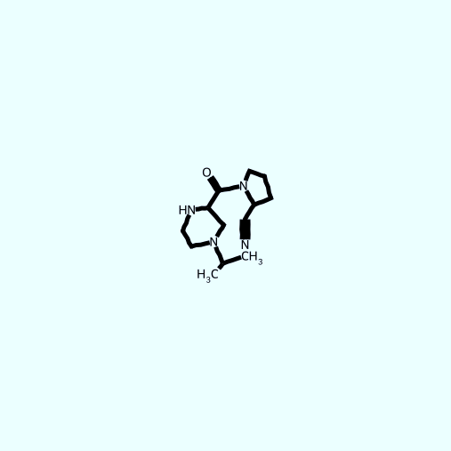 CC(C)N1CCNC(C(=O)N2CCCC2C#N)C1